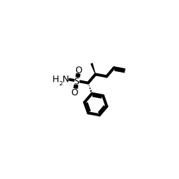 C=CC[C@H](C)[C@H](c1ccccc1)S(N)(=O)=O